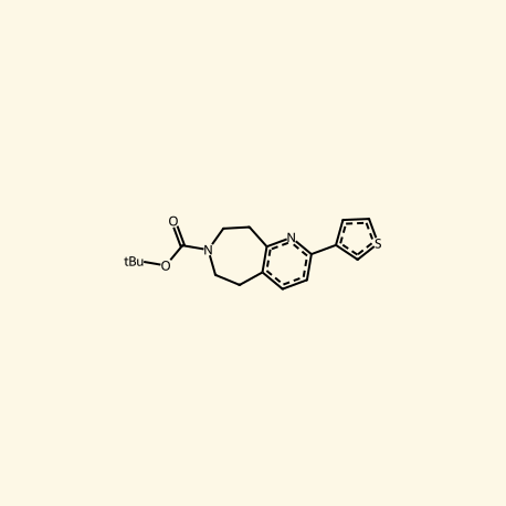 CC(C)(C)OC(=O)N1CCc2ccc(-c3ccsc3)nc2CC1